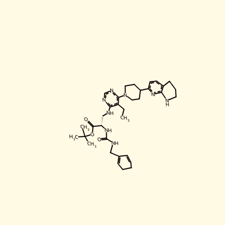 CCc1c(NC[C@H](NC(=O)NCC2=CCCC=C2)C(=O)OC(C)(C)C)ncnc1N1CCC(c2ccc3c(n2)NCCC3)CC1